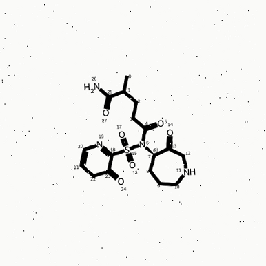 CC(C[CH]C(=O)N([C@@H]1CCCNCC1=O)S(=O)(=O)C1=NC=CCC1=O)C(N)=O